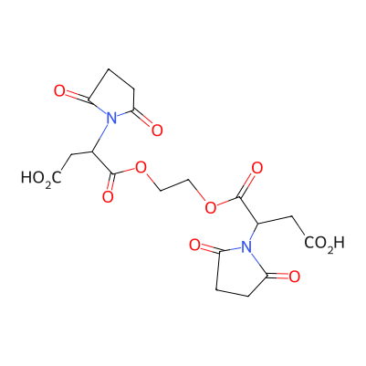 O=C(O)CC(C(=O)OCCOC(=O)C(CC(=O)O)N1C(=O)CCC1=O)N1C(=O)CCC1=O